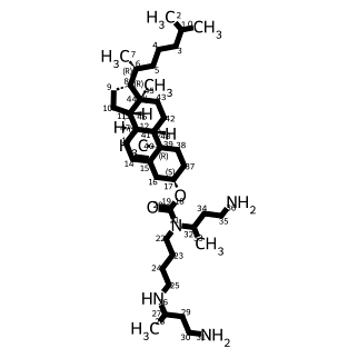 CC(C)CCC[C@@H](C)[C@H]1CC[C@H]2[C@@H]3CC=C4C[C@@H](OC(=O)N(CCCCNC(C)CCN)C(C)CCN)CC[C@]4(C)[C@H]3CC[C@]12C